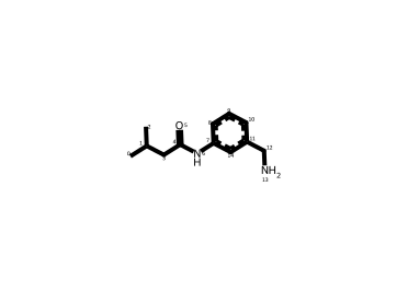 CC(C)CC(=O)Nc1cccc(CN)c1